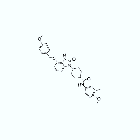 COc1ccc(CSc2cccc3c2[nH]c(=O)n3C2CCC(C(=O)Nc3ccc(OC)c(C)c3)CC2)cc1